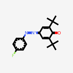 CC(C)(C)C1=CC(=[N+]=Nc2ccc(F)cc2)C=C(C(C)(C)C)C1=O